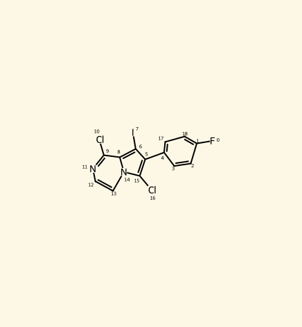 Fc1ccc(-c2c(I)c3c(Cl)nccn3c2Cl)cc1